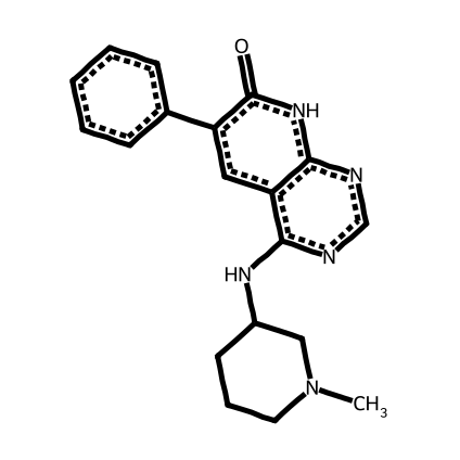 CN1CCCC(Nc2ncnc3[nH]c(=O)c(-c4ccccc4)cc23)C1